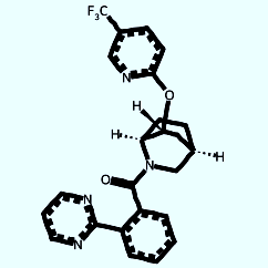 O=C(c1ccccc1-c1ncccn1)N1C[C@@H]2CC[C@H]1[C@H](Oc1ccc(C(F)(F)F)cn1)C2